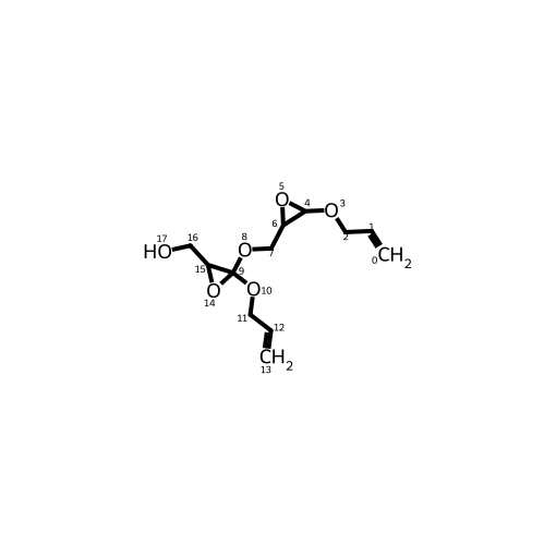 C=CCOC1OC1COC1(OCC=C)OC1CO